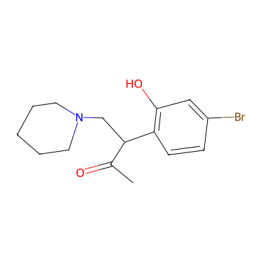 CC(=O)C(CN1CCCCC1)c1ccc(Br)cc1O